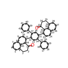 O=C1CCc2cccc3ccc(-c4cc(-c5ccccc5)c(-c5ccc6cccc7c6c5C(=O)CC7)cc4-c4ccccc4)c1c23